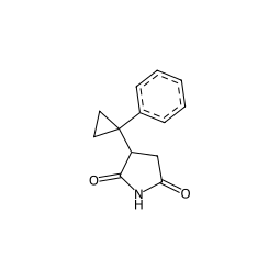 O=C1CC(C2(c3ccccc3)CC2)C(=O)N1